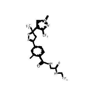 Cc1cc(C2=NOC(c3cn(C)nc3C(F)(F)F)(C(F)(F)F)C2)ccc1C(=O)NCC(=O)NCC(F)(F)F